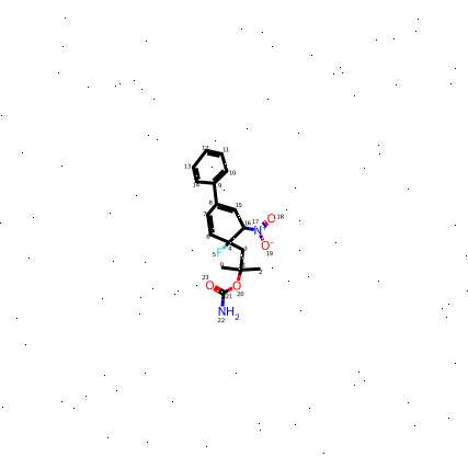 CC(C)(CC1(F)C=CC(c2ccccc2)=CC1[N+](=O)[O-])OC(N)=O